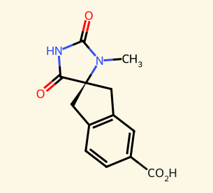 CN1C(=O)NC(=O)[C@]12Cc1ccc(C(=O)O)cc1C2